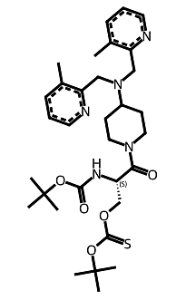 Cc1cccnc1CN(Cc1ncccc1C)C1CCN(C(=O)[C@H](COC(=S)OC(C)(C)C)NC(=O)OC(C)(C)C)CC1